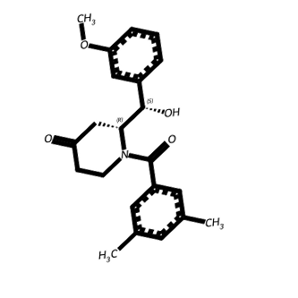 COc1cccc([C@H](O)[C@H]2CC(=O)CCN2C(=O)c2cc(C)cc(C)c2)c1